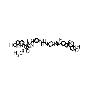 C=CCn1c(=O)c2cnc(Nc3ccc(NCCNC4CCN(C5CN(c6cc7c(cc6F)C(=O)N(C6CCC(=O)NC6=O)C7)C5)CC4)cc3)nc2n1-c1ccc2c(n1)[C@](O)(CC)CC2